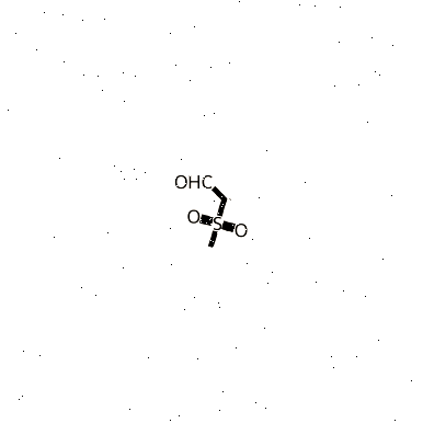 CS(=O)(=O)[CH]C=O